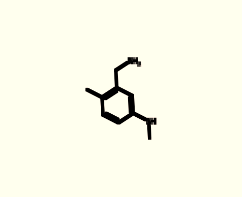 CNc1ccc(C)c(CN)c1